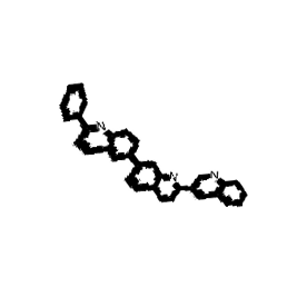 c1ccc(-c2ccc3cc(-c4ccc5ccc(-c6cnc7ccccc7c6)nc5c4)ccc3n2)cc1